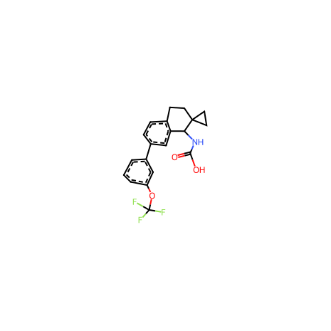 O=C(O)NC1c2cc(-c3cccc(OC(F)(F)F)c3)ccc2CCC12CC2